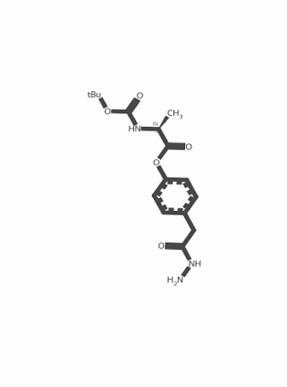 C[C@H](NC(=O)OC(C)(C)C)C(=O)Oc1ccc(CC(=O)NN)cc1